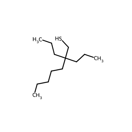 CCCCCC(CS)(CCC)CCC